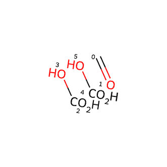 C=O.O=C(O)O.O=C(O)O